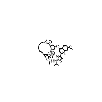 CCOC(=O)C12CC1/C=C/CCCCN(C)C(=O)C1CC(Oc3cc(-c4csc(NC(C)C)n4)nc4cc(OC)ccc34)CC1C(=O)N2